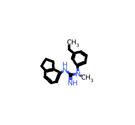 CCc1cccc(N(C)C(=N)Nc2cccc3c2CCC3)c1